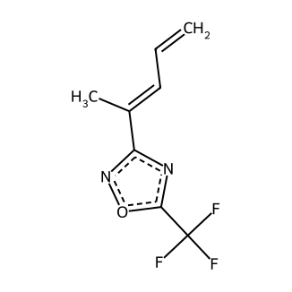 C=C/C=C(\C)c1noc(C(F)(F)F)n1